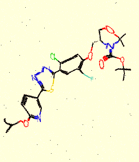 CC(C)Oc1ccc(-c2nnc(-c3cc(F)c(OC[C@@H]4COC(C)(C)N4C(=O)OC(C)(C)C)cc3Cl)s2)cn1